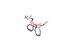 CCOC(=O)C1(C2(O)CCCCC2)CCCCN1C(=O)C=O